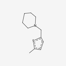 Cc1ccc(CN2CCCCC2)s1